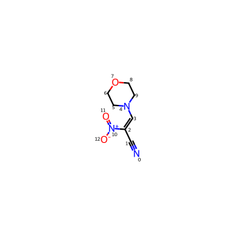 N#CC(=CN1CCOCC1)[N+](=O)[O-]